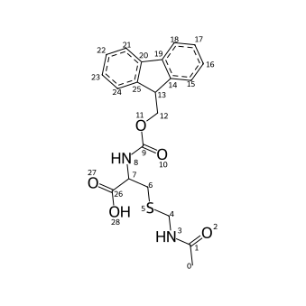 CC(=O)NCSCC(NC(=O)OCC1c2ccccc2-c2ccccc21)C(=O)O